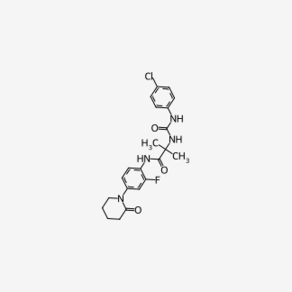 CC(C)(NC(=O)Nc1ccc(Cl)cc1)C(=O)Nc1ccc(N2CCCCC2=O)cc1F